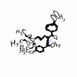 CCO[Si](CCC/C(C(=O)c1ccc(OC)cc1)=C(/O)c1ccc(OC)cc1)(OCC)OCC